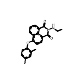 CCNN1C(=O)c2cccc3c(Oc4ccc(C)cc4C)ccc(c23)C1=O